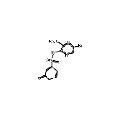 COc1nc(Br)cnc1NS(=O)(=O)C1=CC(=S)CC=C1